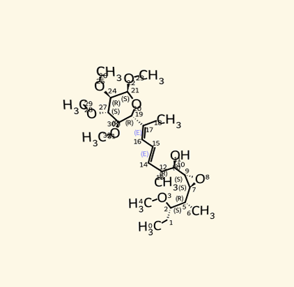 CC[C@H](OC)[C@@H](C)[C@@H]1O[C@H]1[C@H](O)[C@H](C)/C=C/C=C(\C)[C@H]1O[C@H](OC)[C@H](OC)[C@@H](OC)[C@@H]1OC